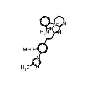 COc1cc(/C=C/C2=NC3=NCCC[N+]3(c3ccccc3N)N2)ccc1-n1cnc(C)c1